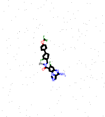 CC(C)N(Cc1ccc(-c2ccc(OC(F)F)cc2)cc1F)C(=O)c1cc2c(cc1F)nc(N)c1cncn12